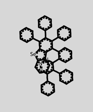 c1ccc(-c2nnnc(-c3ccccc3-c3c(-c4ccccc4)c(-c4ccccc4)c(-c4ccccc4)c4[se]c5ccccc5c34)c2-c2ccccc2)cc1